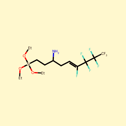 CCO[Si](CCC(N)CC=C(F)C(F)(F)C(F)(F)C(F)(F)F)(OCC)OCC